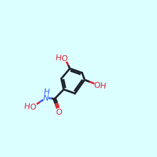 O=C(NO)c1cc(O)cc(O)c1